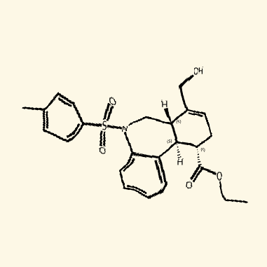 CCOC(=O)[C@H]1CC=C(CO)[C@H]2CN(S(=O)(=O)c3ccc(C)cc3)c3ccccc3[C@H]12